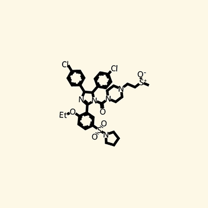 CCOc1ccc(S(=O)(=O)N2CCCC2)cc1C1=NC(c2ccc(Cl)cc2)C(c2ccc(Cl)cc2)N1C(=O)N1CCN(CC[S+](C)[O-])CC1